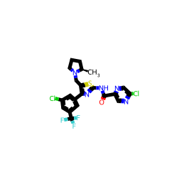 C[C@@H]1CCCN1Cc1sc(NC(=O)c2cnc(Cl)cn2)nc1-c1cc(Cl)cc(C(F)(F)F)c1